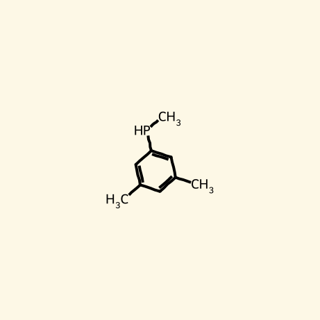 CPc1cc(C)cc(C)c1